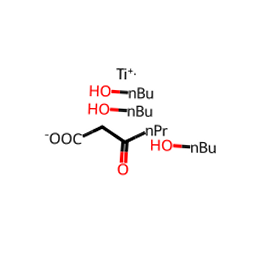 CCCC(=O)CC(=O)[O-].CCCCO.CCCCO.CCCCO.[Ti+]